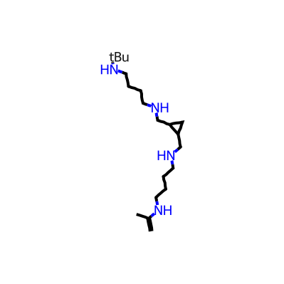 C=C(C)NCCCCNCC1CC1CNCCCCNC(C)(C)C